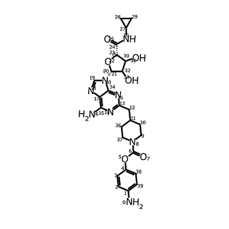 Nc1ccc(OC(=O)N2CCC(Cc3nc(N)c4ncn([C@@H]5O[C@H](C(=O)NC6CC6)C(O)C5O)c4n3)CC2)cc1